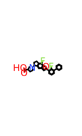 O=C(O)C1CCN(C2CCc3c2cc2cc(-c4cccc(-c5ccccc5)c4F)oc2c3F)C1